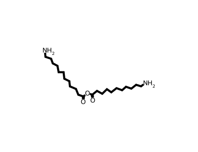 NCCCCCCCCCCCC(=O)OC(=O)CCCCCCCCCCN